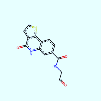 O=CCNC(=O)c1ccc2c(c1)[nH]c(=O)c1ccsc12